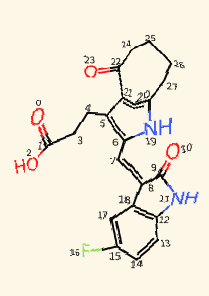 O=C(O)CCc1c(C=C2C(=O)Nc3ccc(F)cc32)[nH]c2c1C(=O)CCCC2